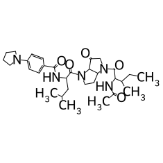 CCC(C)C(NC(C)=O)C(=O)N1CC(=O)C2C1CCN2C(=O)C(CC(C)C)NC(=O)c1ccc(N2CCCC2)cc1